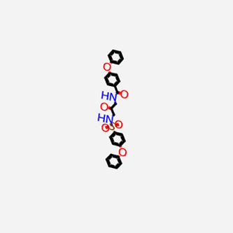 O=C(CNC(=O)c1ccc(Oc2ccccc2)cc1)CNS(=O)(=O)c1ccc(Oc2ccccc2)cc1